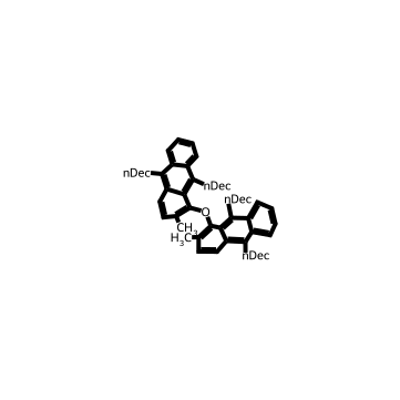 CCCCCCCCCCc1c2ccccc2c(CCCCCCCCCC)c2c(Oc3c(C)ccc4c(CCCCCCCCCC)c5ccccc5c(CCCCCCCCCC)c34)c(C)ccc12